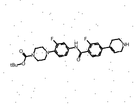 CC(C)(C)OC(=O)N1CCN(c2ccc(NC(=O)c3ccc(C4=CCNCC4)cc3F)cc2F)CC1